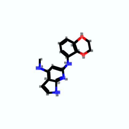 CNc1cc(Nc2cc[c]c3c2OCCO3)nc2[nH]ccc12